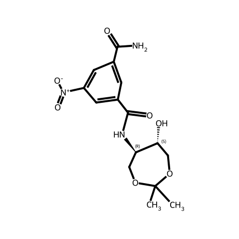 CC1(C)OC[C@@H](O)[C@H](NC(=O)c2cc(C(N)=O)cc([N+](=O)[O-])c2)CO1